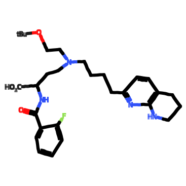 CC(C)(C)OCCN(CCCCc1ccc2c(n1)NCCC2)CCC(NC(=O)c1ccccc1F)C(=O)O